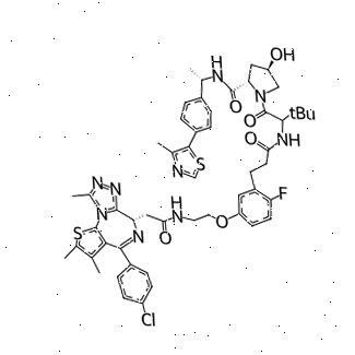 Cc1ncsc1-c1ccc([C@H](C)NC(=O)[C@@H]2C[C@@H](O)CN2C(=O)C(NC(=O)CCc2cc(OCCNC(=O)C[C@@H]3N=C(c4ccc(Cl)cc4)c4c(sc(C)c4C)-n4c(C)nnc43)ccc2F)C(C)(C)C)cc1